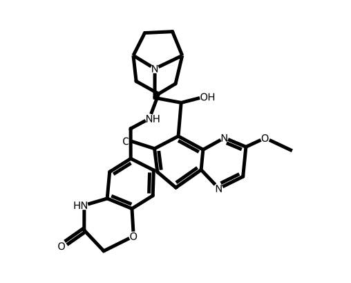 COc1cnc2ccc(Cl)c(C(O)CN3C4CCC3CC(NCc3ccc5c(c3)NC(=O)CO5)C4)c2n1